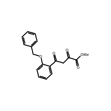 COC(=O)C(=O)CC(=O)c1ccccc1OCc1ccccc1